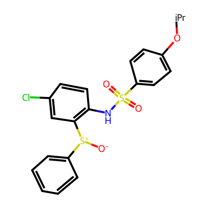 CC(C)Oc1ccc(S(=O)(=O)Nc2ccc(Cl)cc2[S+]([O-])c2ccccc2)cc1